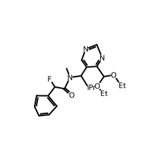 CCOC(OCC)c1ncncc1C(C(C)C)N(C)C(=O)C(F)c1ccccc1